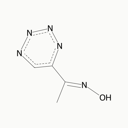 CC(=NO)c1cnnnn1